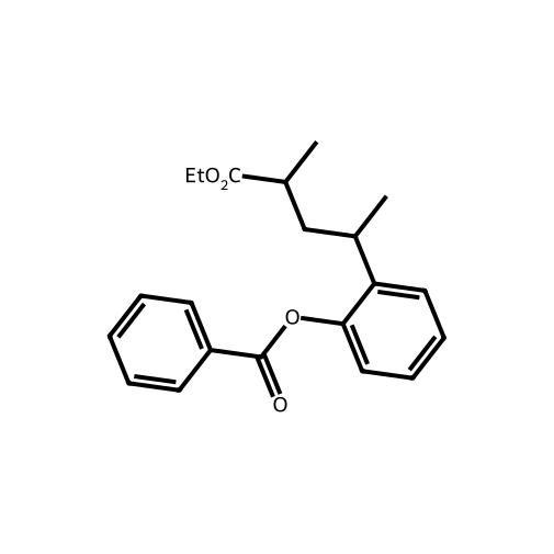 CCOC(=O)C(C)CC(C)c1ccccc1OC(=O)c1ccccc1